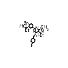 CCc1nn(C)c2nc(-c3ccc(Br)c(C(O)CC)c3)nc(NCc3ccc(F)cc3)c12